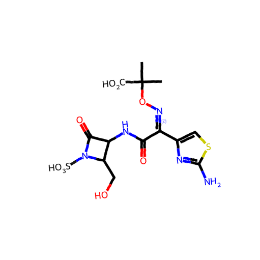 CC(C)(O/N=C(\C(=O)NC1C(=O)N(S(=O)(=O)O)C1CO)c1csc(N)n1)C(=O)O